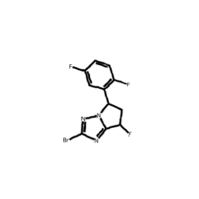 Fc1ccc(F)c(C2CC(F)c3nc(Br)nn32)c1